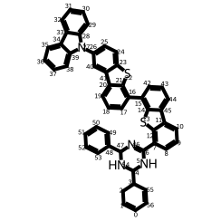 C1=CCC(C2NC(c3cccc4c3sc3c(-c5cccc6c5sc5ccc(-n7c8ccccc8c8ccccc87)cc56)cccc34)=NC(c3ccccc3)N2)C=C1